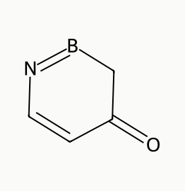 O=C1C=CN=BC1